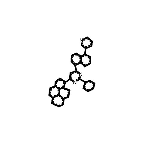 c1ccc(-c2nc(-c3cccc4c(-c5cccnc5)cccc34)cc(-c3ccc4ccc5cccc6ccc3c4c56)n2)cc1